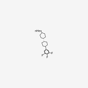 CCCCCC[C@H]1CC[C@H](C2CCC(c3cc(F)c(F)c(F)c3)CC2)CC1